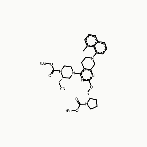 Cc1cccc2cccc(N3CCc4c(nc(OC[C@@H]5CCCN5C(=O)OC(C)(C)C)nc4N4CCN(C(=O)OC(C)(C)C)[C@@H](CC#N)C4)C3)c12